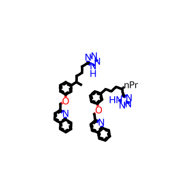 CC(CCCc1nnn[nH]1)c1cccc(OCc2ccc3ccccc3n2)c1.CCCC(CCCc1cccc(OCc2ccc3ccccc3n2)c1)c1nnn[nH]1